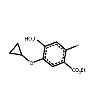 CCOC(=O)c1cc(OC2CC2)c(C(=O)O)cc1F